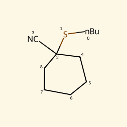 CCCCSC1(C#N)CCCCC1